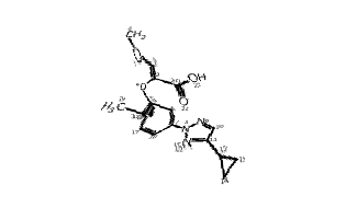 CO/C=C(\Oc1cc(-n2ncc(C3CC3)n2)ccc1C)C(=O)O